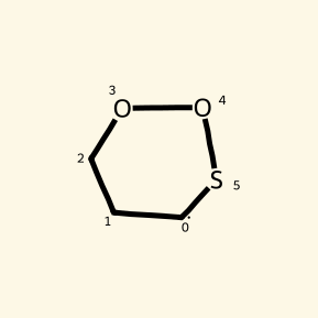 [CH]1CCOOS1